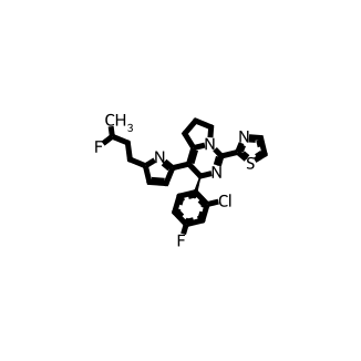 CC(F)CCC1C=CC(C2=C3CCCN3C(c3nccs3)=N[C@H]2c2ccc(F)cc2Cl)=N1